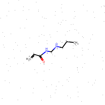 C=CC(=O)NCNCCC